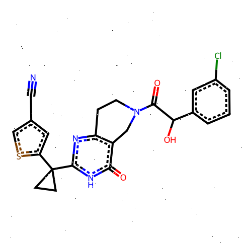 N#Cc1csc(C2(c3nc4c(c(=O)[nH]3)CN(C(=O)C(O)c3cccc(Cl)c3)CC4)CC2)c1